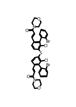 O=C(/C=C/c1ccc(Sc2ccc(/C=C/C(=O)N3CCOCC3)c(-c3ccccc3Br)c2Cl)c(Cl)c1-c1ccccc1Br)N1CCOCC1